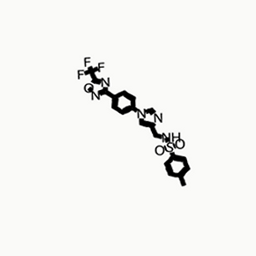 Cc1ccc(S(=O)(=O)NCc2cn(-c3ccc(-c4noc(C(F)(F)F)n4)cc3)cn2)cc1